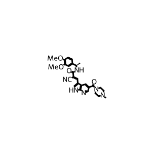 COc1ccc([C@@H](C)NC(=O)/C(C#N)=C/c2c[nH]c3ncc(C(=O)N4CCN(C)CC4)cc23)cc1OC